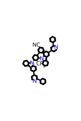 N#Cc1cccc(-c2ccc(-n3c4ccccc4c4cc(-c5ccnc(-c6ccccc6)c5)ccc43)c(C(F)(F)F)c2-n2c3ccccc3c3cc(-c4ccnc(-c5ccccc5)c4)ccc32)c1